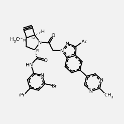 CC(=O)c1nn(CC(=O)N2[C@H](C(=O)Nc3cc(C(C)C)cc(Br)n3)C[C@@]3(C)C#C[C@@H]23)c2ccc(-c3cnc(C)nc3)cc12